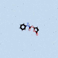 O=C1C=CC(OC(=O)Nc2ccccc2)O1